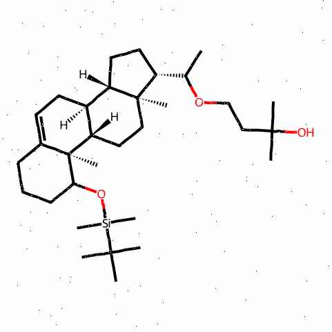 CC(OCCC(C)(C)O)[C@H]1CC[C@H]2[C@@H]3CC=C4CCCC(O[Si](C)(C)C(C)(C)C)[C@]4(C)[C@H]3CC[C@]12C